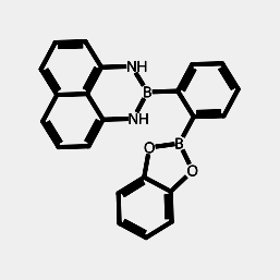 c1ccc2c(c1)OB(c1ccccc1B1Nc3cccc4cccc(c34)N1)O2